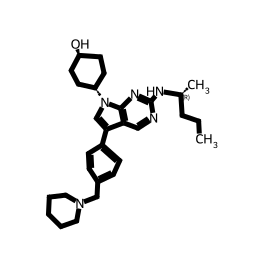 CCC[C@@H](C)Nc1ncc2c(-c3ccc(CN4CCCCC4)cc3)cn([C@H]3CC[C@H](O)CC3)c2n1